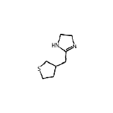 C1CNC(CC2CCSC2)=N1